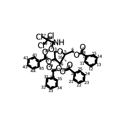 N=C(O[C@@H]1OC(COC(=O)c2ccccc2)[C@H](OC(=O)c2ccccc2)C(OC(=O)c2ccccc2)C1OC(=O)c1ccccc1)C(Cl)(Cl)Cl